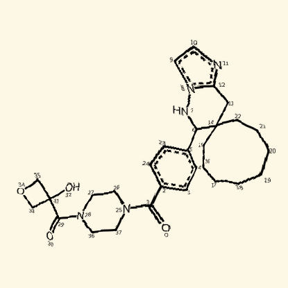 O=C(c1ccc(C2Nn3ccnc3CC23CCCCCCCC3)cc1)N1CCN(C(=O)C2(O)COC2)CC1